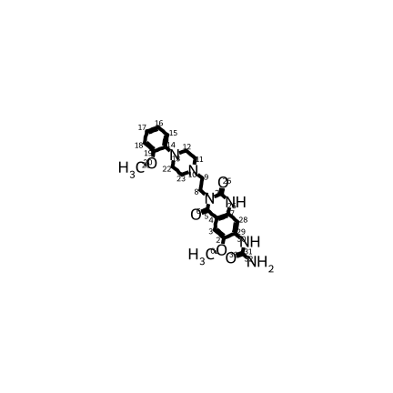 COc1cc2c(=O)n(CCN3CCN(c4ccccc4OC)CC3)c(=O)[nH]c2cc1NC(N)=O